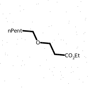 CCCCCCOCCC(=O)OCC